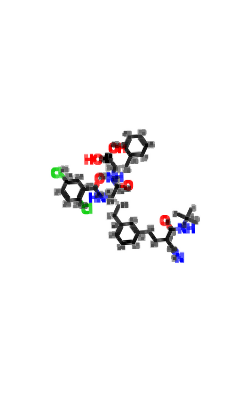 CC(C)(C)NC(=O)C(C#N)CCc1cccc(CC[C@H](NC(=O)c2cc(Cl)ccc2Cl)C(=O)N[C@@H](Cc2ccccc2)B(O)O)c1